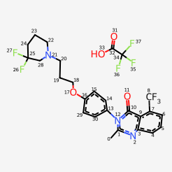 Cc1nc2cccc(C(F)(F)F)c2c(=O)n1-c1ccc(OCCCN2CCCC(F)(F)C2)cc1.O=C(O)C(F)(F)F